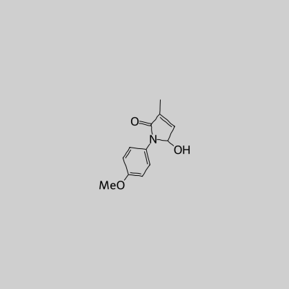 COc1ccc(N2C(=O)C(C)=CC2O)cc1